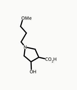 COCCCN1CC(O)C(C(=O)O)C1